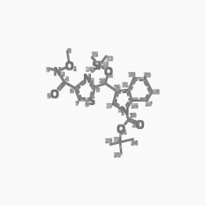 CON(C)C(=O)c1csc(C(O[Si](C)(C)C)c2cn(C(=O)OC(C)(C)C)c3ccccc23)n1